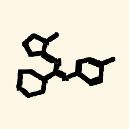 Cc1ccc(N=C(N=C2CCCN2C)N2CCSCC2)cc1